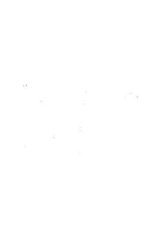 c1ccc(-c2cccc(N(c3cccc(-c4ccccc4)c3)c3cc4c5ccccc5sc4c4c3oc3ccccc34)c2)cc1